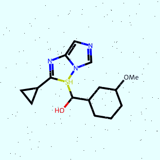 COC1CCCC(C(O)[SH]2C(C3CC3)=Nc3cncn32)C1